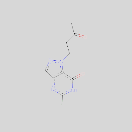 CC(=O)CCn1ncc2nc(Cl)[nH]c(=O)c21